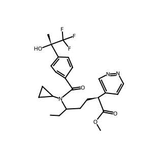 CCC(CC[C@H](C(=O)OC)c1ccnnc1)N(C(=O)c1ccc([C@](C)(O)C(F)(F)F)cc1)C1CC1